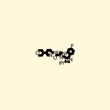 CC(C)n1cnc(-c2ccc(F)cc2)c1-c1nc(C(=O)Nc2ccc(C3CCOCC3)cn2)c[nH]1